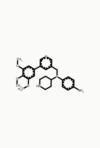 Bc1ccc(N(Cc2cncc(-c3cc(OC)c(OC)c(OC)c3)c2)C2CCNCC2)cc1